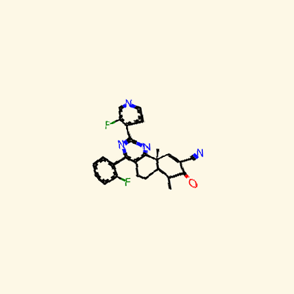 CC1C(=O)C(C#N)=C[C@@]2(C)c3nc(-c4ccncc4F)nc(-c4ccccc4F)c3CCC12